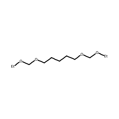 CCOCOCCCCCOCOCC